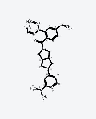 C=NN(/N=C\C)c1cc(OC)ccc1C(=O)N1CC2CN(c3cc(N(C)C)ncn3)CC2C1